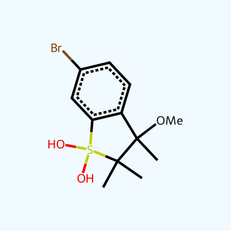 COC1(C)c2ccc(Br)cc2S(O)(O)C1(C)C